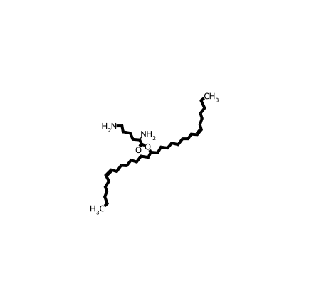 CCCCCC/C=C\CCCCCCCCC(CCCCCCC/C=C\CCCCCC)OC(=O)[C@@H](N)CCCCN